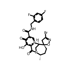 C[C@H]1CC[C@]2(CC(Br)=NO2)[C@H]2CN1C(=O)c1c(O)c(=O)c(C(=O)NCc3ccc(F)cc3F)cn12